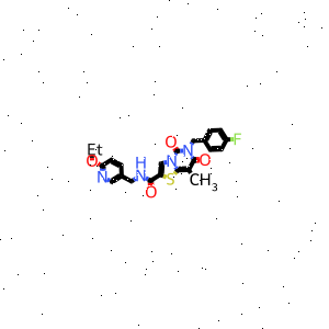 CCOc1ccc(CNC(=O)c2cn3c(=O)n(Cc4ccc(F)cc4)c(=O)c(C)c3s2)cn1